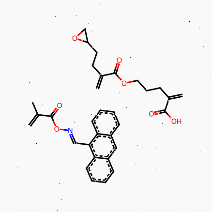 C=C(C)C(=O)ON=Cc1c2ccccc2cc2ccccc12.C=C(CCCOC(=O)C(=C)CCC1CO1)C(=O)O